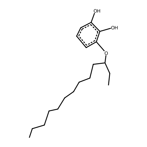 CCCCCCCCCCC(CC)Oc1cccc(O)c1O